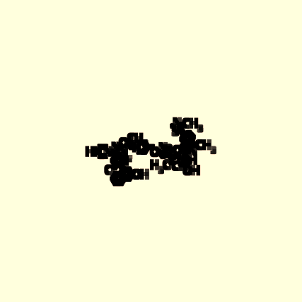 Cc1ncsc1-c1ccc([C@H](C)NC(=O)[C@@H]2C[C@@H](O)CN2C(=O)[C@@H](c2cc(OCC3CCN(C[C@@H](C)Oc4nc(N5CCNCC5)c5cc(Cl)c(-c6cc(O)cc7ccccc67)c(F)c5n4)CC3)no2)C(C)C)cc1